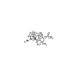 [C-]#[N+]C1=C[C@]2(C)C3=CC(=O)[C@@H]4[C@@H]5CC(C)(C)CC[C@]5(COC(C)=O)CC[C@@]4(C)[C@]3(C)CC[C@H]2[C@H](C)C1=O